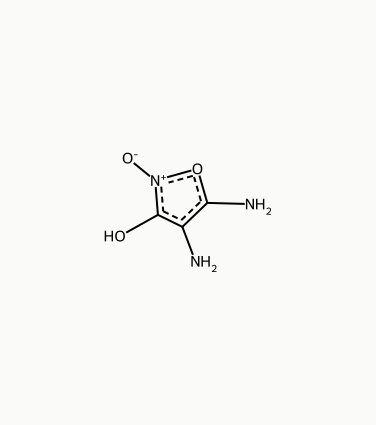 Nc1o[n+]([O-])c(O)c1N